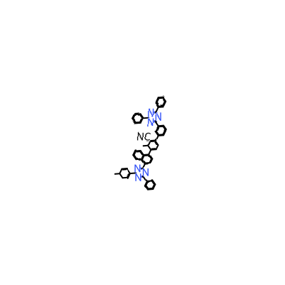 CC1C=CC(c2nc(-c3ccccc3)nc(-c3ccc(C4=CC=C(c5cccc(-c6nc(-c7ccccc7)nc(-c7ccccc7)n6)c5)C(C#N)C4C)c4ccccc34)n2)=CC1